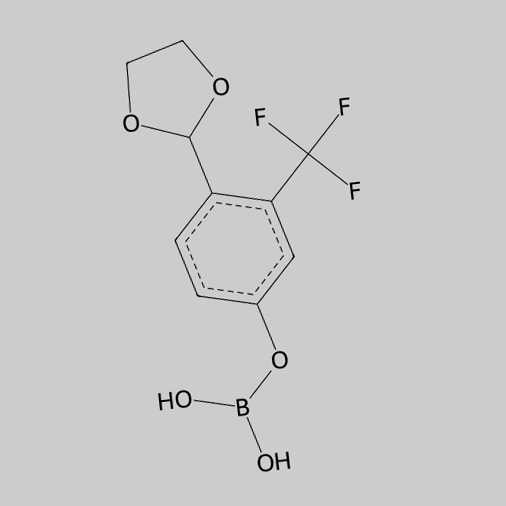 OB(O)Oc1ccc(C2OCCO2)c(C(F)(F)F)c1